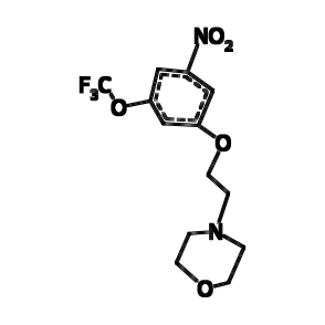 O=[N+]([O-])c1cc(OCCN2CCOCC2)cc(OC(F)(F)F)c1